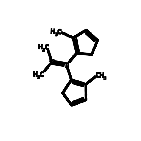 CC1=[C]([Ti]([C]2=C(C)C=CC2)=[Si](C)C)CC=C1